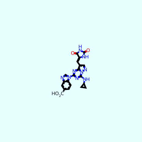 O=C1NC(=O)C(=Cc2cnn3c(NC4CC4)nc(-n4cnc5cc(C(=O)O)ccc54)nc23)N1